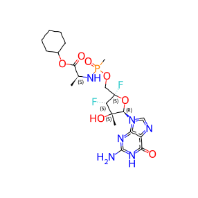 C[C@H](NP(C)(=O)OC[C@@]1(F)O[C@@H](n2cnc3c(=O)[nH]c(N)nc32)[C@](C)(O)[C@@H]1F)C(=O)OC1CCCCC1